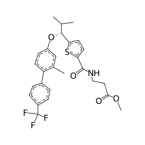 COC(=O)CCNC(=O)c1ccc([C@H](Oc2ccc(-c3ccc(C(F)(F)F)cc3)c(C)c2)C(C)C)s1